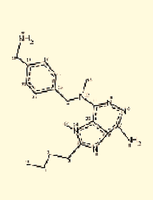 CCCCc1nc2c(N)nnc(N(C)Cc3ccc(CN)cc3)c2n1C